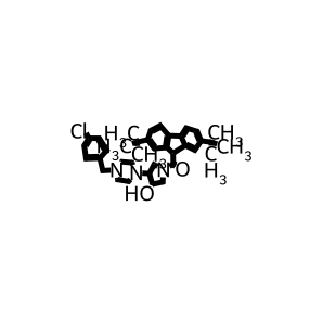 CC(C)(C)c1ccc2c(c1)C(C(=O)N1CC(O)C(N3CCN(Cc4ccc(Cl)cc4)CC3)C1)c1cc(C(C)(C)C)ccc1-2